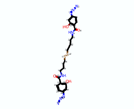 [N-]=[N+]=Nc1ccc(C(=O)NCCCCSSCCCCNC(=O)c2ccc(N=[N+]=[N-])cc2O)c(O)c1